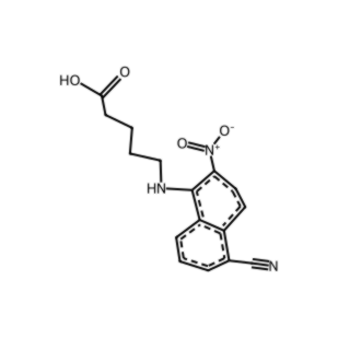 N#Cc1cccc2c(NCCCCC(=O)O)c([N+](=O)[O-])ccc12